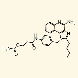 CCCCc1nc2c(N)nc3ccccc3c2n1Cc1ccc(NC(=O)CCOC(N)=O)cc1